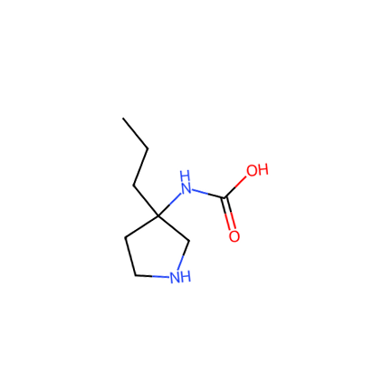 CCCC1(NC(=O)O)CCNC1